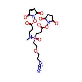 CN(CCC(=O)ON1C(=O)C=CC1=O)P(=O)(CCOCCN=[N+]=[N-])CCC(=O)ON1C(=O)CCC1=O